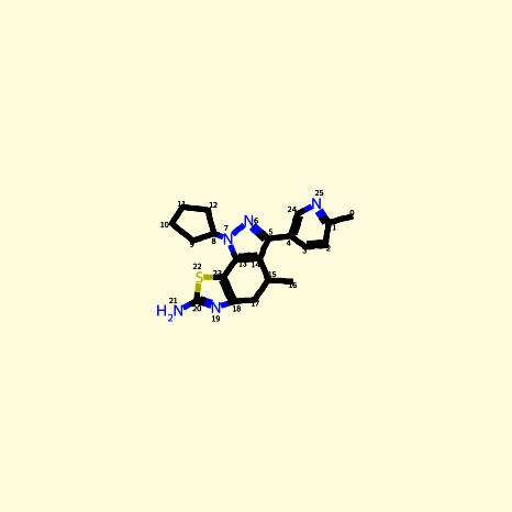 Cc1ccc(-c2nn(C3CCCC3)c3c2C(C)Cc2nc(N)sc2-3)cn1